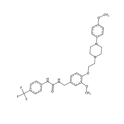 COc1ccc(N2CCN(CCOc3ccc(CNC(=O)Nc4ccc(C(F)(F)F)cc4)cc3OC)CC2)cc1